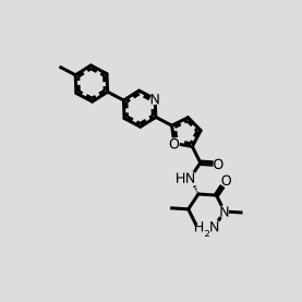 Cc1ccc(-c2ccc(-c3ccc(C(=O)N[C@H](C(=O)N(C)N)C(C)C)o3)nc2)cc1